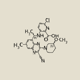 CO[C@H]1CCCN(c2nc3c([C@@H](C)Nc4ccc(Cl)nc4C(=O)O)cc(C)cc3nc2C#N)C1